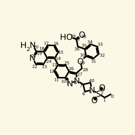 CCS(=O)(=O)N1CC(n2nc3ccc(-c4cccc5c(N)nccc45)cc3c2COc2ccccc2CC(=O)O)C1